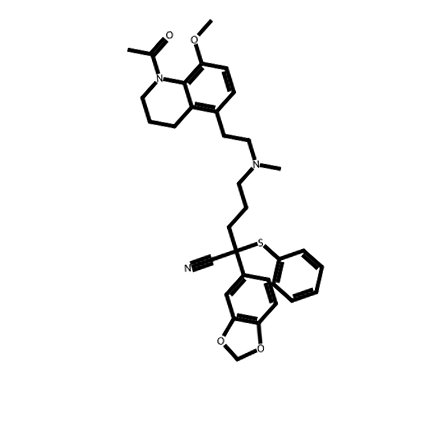 COc1ccc(CCN(C)CCCC(C#N)(Sc2ccccc2)c2ccc3c(c2)OCO3)c2c1N(C(C)=O)CCC2